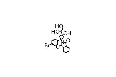 O=C1c2ccccc2C(=O)N1[C@]1(c2ccc(Br)cc2)C[C@](O)(C(O)CO)C1